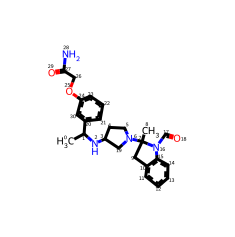 CC(NC1CCN(C2(C)Cc3ccccc3N2C=O)C1)c1cccc(OCC(N)=O)c1